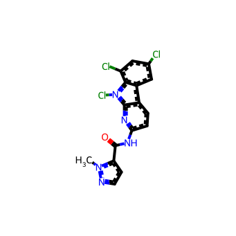 Cn1nccc1C(=O)Nc1ccc2c3cc(Cl)cc(Cl)c3n(Cl)c2n1